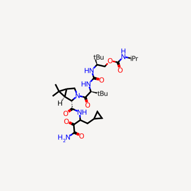 CC(C)NC(=O)OC[C@@H](NC(=O)N[C@H](C(=O)N1CC2[C@@H]([C@H]1C(=O)NC(CC1CC1)C(=O)C(N)=O)C2(C)C)C(C)(C)C)C(C)(C)C